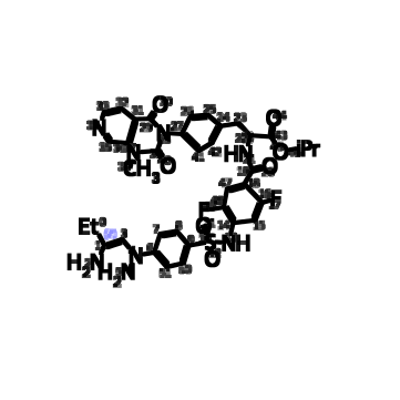 CC/C(N)=C/N(N)c1ccc(S(=O)(=O)Nc2cc(F)c(C(=O)N[C@@H](Cc3ccc(-n4c(=O)c5ccncc5n(C)c4=O)cc3)C(=O)OC(C)C)cc2F)cc1